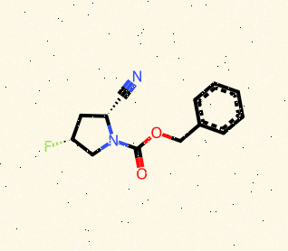 N#C[C@H]1C[C@@H](F)CN1C(=O)OCc1ccccc1